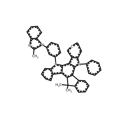 Cc1nc2ccccc2n1-c1cccc(-n2c3ccccc3c3c4c(c5c(c6ccccc6n5-c5ccccc5)c32)-c2ccccc2C4(C)C)c1